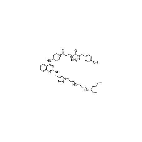 CCCCC(CC)NCCCNCCCn1cc(CNc2nc(NC3CCN(C(=O)CC[C@H](N)C(=O)NCc4ccc(O)cc4)CC3)c3ccccc3n2)nn1